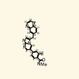 CNC(=O)c1ccc(-c2cnc3ncc(Cc4ccc5nccnc5c4)n3c2)cc1F